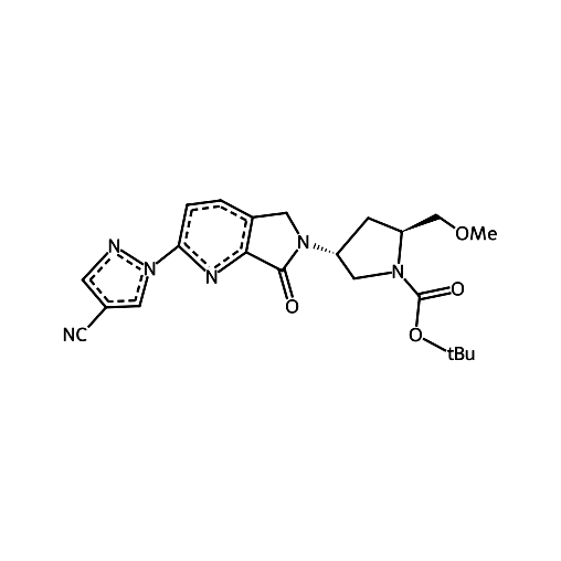 COC[C@@H]1C[C@@H](N2Cc3ccc(-n4cc(C#N)cn4)nc3C2=O)CN1C(=O)OC(C)(C)C